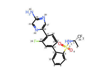 C[C@H](NS(=O)(=O)c1ccccc1-c1ccc(-c2cnc(N)cn2)c(F)c1)C(F)(F)F